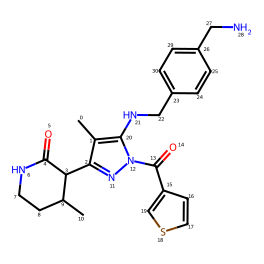 Cc1c(C2C(=O)NCCC2C)nn(C(=O)c2ccsc2)c1NCc1ccc(CN)cc1